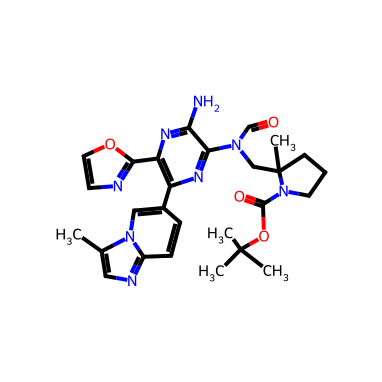 Cc1cnc2ccc(-c3nc(N(C=O)CC4(C)CCCN4C(=O)OC(C)(C)C)c(N)nc3-c3ncco3)cn12